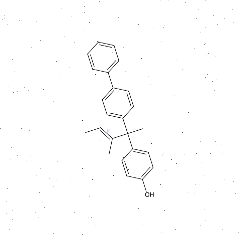 C/C=C(\C)C(C)(c1ccc(O)cc1)c1ccc(-c2ccccc2)cc1